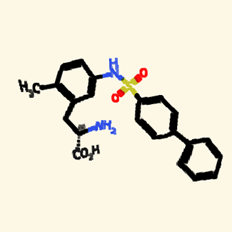 Cc1ccc(NS(=O)(=O)c2ccc(-c3ccccc3)cc2)cc1C[C@H](N)C(=O)O